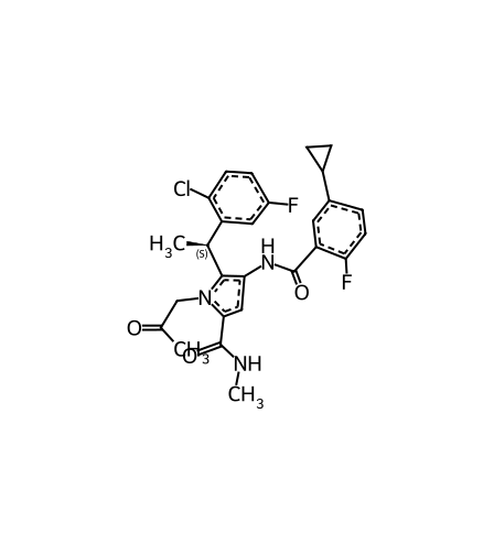 CNC(=O)c1cc(NC(=O)c2cc(C3CC3)ccc2F)c([C@@H](C)c2cc(F)ccc2Cl)n1CC(C)=O